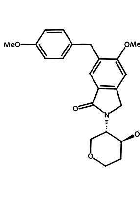 COc1ccc(Cc2cc3c(cc2OC)CN([C@H]2COCC[C@@H]2O)C3=O)cc1